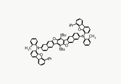 Cc1ccccc1N(c1ccc2cc3c(cc2c1)oc1c(C(C)(C)C)c2c(oc4cc5cc(N(c6ccccc6C)c6cccc7c6oc6c(C(C)C)cccc67)ccc5cc42)c(C(C)(C)C)c13)c1cccc2c1oc1c(C(C)C)cccc12